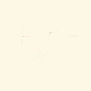 CCOC(=O)OP(=O)(O[Si](C)(C)C)[Si](C)(C)C